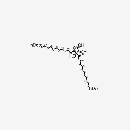 CCCCCCCCCCCCCCCCCCCCCC(=O)C(O)(C(=O)CCCCCCCCCCCCCCCCCCCCC)C(O)CO